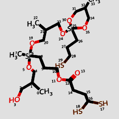 CC(CO)CO[Si](C)(CCCOC(=O)CCC(S)S)OCC(C)CO[Si]1(CCCS)OCC(C)CO1